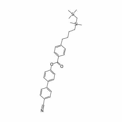 C[Si](C)(C)C[Si](C)(C)CCCCc1ccc(C(=O)Oc2ccc(-c3ccc(C#N)cc3)cc2)cc1